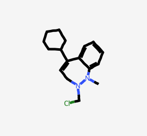 CN1c2ccccc2C(C2CCCCC2)=CCN1CCl